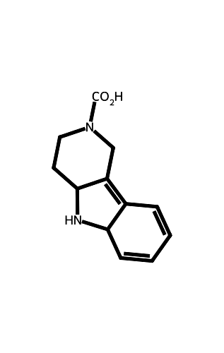 O=C(O)N1CCC2NC3C=CC=CC3=C2C1